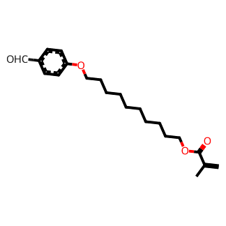 C=C(C)C(=O)OCCCCCCCCCCOc1ccc(C=O)cc1